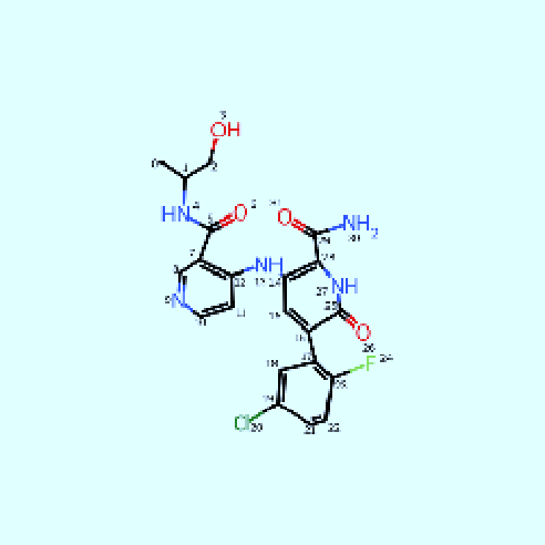 CC(CO)NC(=O)c1cnccc1Nc1cc(-c2cc(Cl)ccc2F)c(=O)[nH]c1C(N)=O